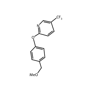 COCc1ccc(Oc2ccc(C(F)(F)F)cn2)cc1